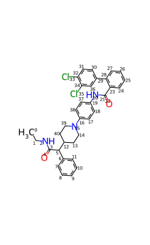 CCNC(=O)C(c1ccccc1)C1CCN(c2ccc(NC(=O)c3ccccc3-c3ccc(Cl)c(Cl)c3)cc2)CC1